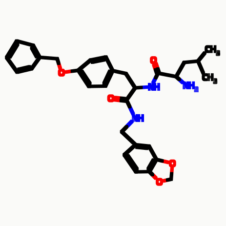 CC(C)CC(N)C(=O)NC(Cc1ccc(OCc2ccccc2)cc1)C(=O)NCc1ccc2c(c1)OCO2